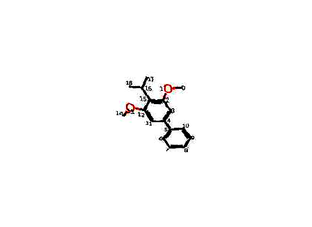 COc1cc(-c2cc[c]cc2)cc(OC)c1C(C)C